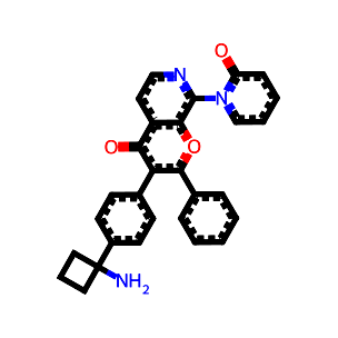 NC1(c2ccc(-c3c(-c4ccccc4)oc4c(-n5ccccc5=O)nccc4c3=O)cc2)CCC1